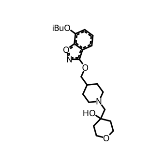 CC(C)COc1cccc2c(OCC3CCN(CC4(O)CCOCC4)CC3)noc12